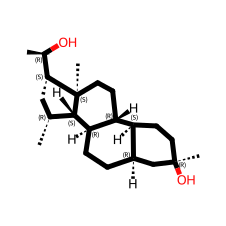 C[C@@H]1C[C@H]([C@@H](C)O)[C@@]2(C)CC[C@H]3[C@@H](CC[C@@H]4C[C@](C)(O)CC[C@@H]43)[C@H]12